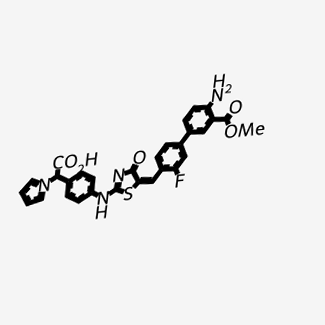 COC(=O)c1cc(-c2ccc(/C=C3/SC(Nc4ccc(C(C(=O)O)n5cccc5)cc4)=NC3=O)c(F)c2)ccc1N